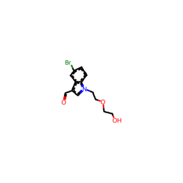 O=Cc1cn(CCOCCO)c2ccc(Br)cc12